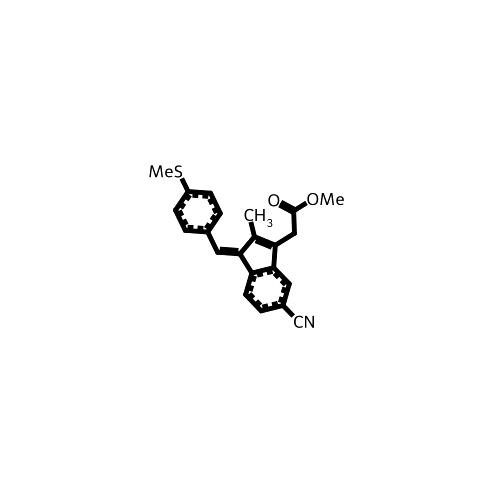 COC(=O)CC1=C(C)C(=Cc2ccc(SC)cc2)c2ccc(C#N)cc21